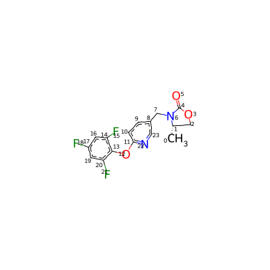 C[C@H]1COC(=O)N1Cc1ccc(Oc2c(F)cc(F)cc2F)nc1